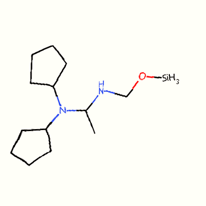 CC(NCO[SiH3])N(C1CCCC1)C1CCCC1